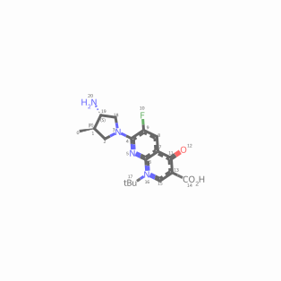 C[C@@H]1CN(c2nc3c(cc2F)c(=O)c(C(=O)O)cn3C(C)(C)C)C[C@H]1N